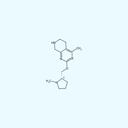 Cc1nc(OC[C@@H]2CCCN2C)nc2c1CCNC2